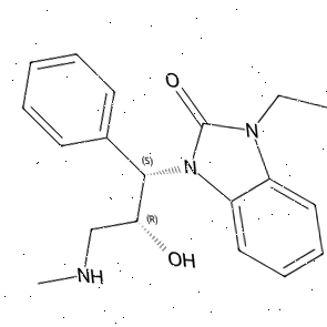 CCn1c(=O)n([C@@H](c2ccccc2)[C@H](O)CNC)c2ccccc21